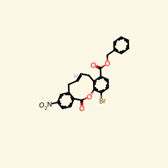 O=C1Oc2c(Br)ccc(C(=O)OCc3ccccc3)c2C/C=C/Cc2cc([N+](=O)[O-])ccc21